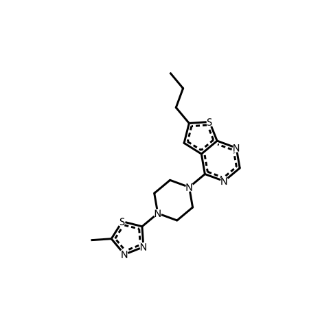 CCCc1cc2c(N3CCN(c4nnc(C)s4)CC3)ncnc2s1